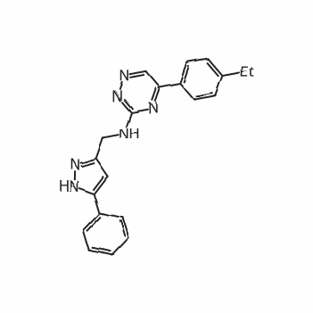 CCc1ccc(-c2cnnc(NCc3cc(-c4ccccc4)[nH]n3)n2)cc1